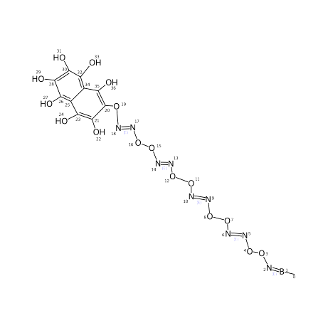 C/B=N/OO/N=N/OO/N=N/OO/N=N/OO/N=N/Oc1c(O)c(O)c2c(O)c(O)c(O)c(O)c2c1O